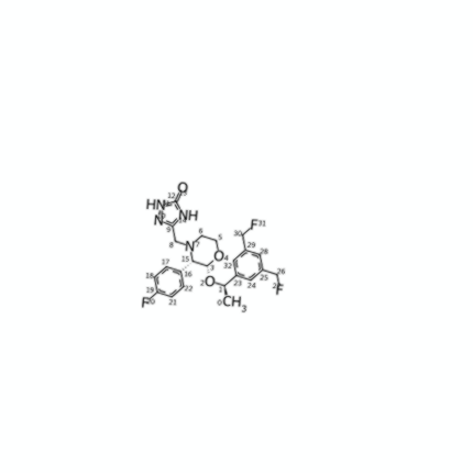 C[C@@H](O[C@H]1OCCN(Cc2n[nH]c(=O)[nH]2)[C@H]1c1ccc(F)cc1)c1cc(CF)cc(CF)c1